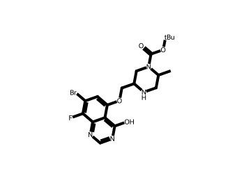 CC1CNC(COc2cc(Br)c(F)c3ncnc(O)c23)CN1C(=O)OC(C)(C)C